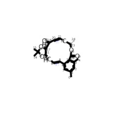 Cc1cc(C)c2c(c1)/C=C/C[C@H]1OC(C)(C)O[C@H]1C(=O)/C=C\C[C@H](C)OC2=O